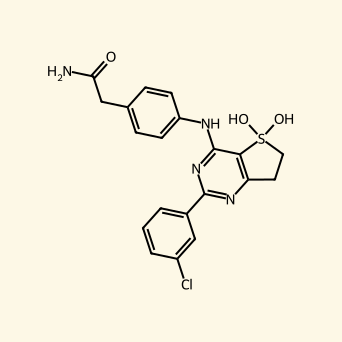 NC(=O)Cc1ccc(Nc2nc(-c3cccc(Cl)c3)nc3c2S(O)(O)CC3)cc1